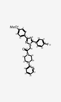 COc1ccc(-c2nc(-c3ccc(F)cc3)n(CC(=O)N3CCN(c4ccccn4)CC3)n2)cc1